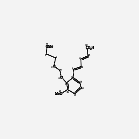 COCCOCOc1c(C=CC=CC(=O)O)cccc1OC